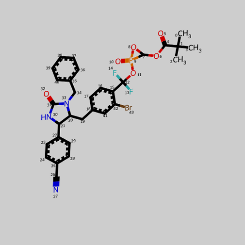 CC(C)(C)C(=O)OC1OP1(=O)OC(F)(F)c1ccc(CC2C(c3ccc(C#N)cc3)NC(=O)N2Cc2ccccc2)cc1Br